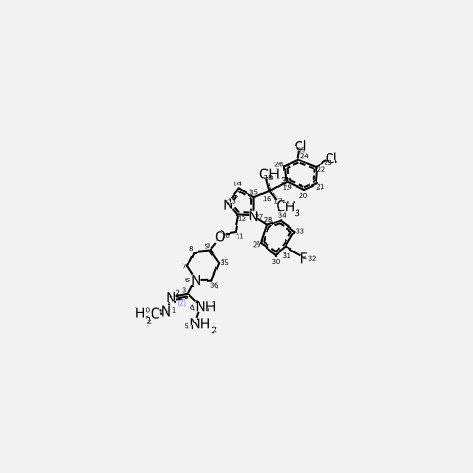 C=N/N=C(\NN)N1CCC(OCc2ncc(C(C)(C)c3ccc(Cl)c(Cl)c3)n2-c2ccc(F)cc2)CC1